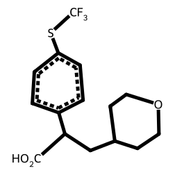 O=C(O)C(CC1CCOCC1)c1ccc(SC(F)(F)F)cc1